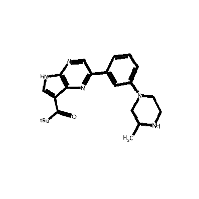 CC1CN(c2cccc(-c3cnc4[nH]cc(C(=O)C(C)(C)C)c4n3)c2)CCN1